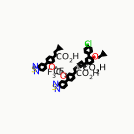 CC(C)CC(C(=O)O)c1ccc(-c2ccc3nsnc3c2)c(OCC(F)(F)F)c1.O=C(O)C(CC1CC1)c1ccc(-c2ccc3nsnc3c2)c(OCC(F)(F)F)c1.O=C(O)C1(c2ccc(OCC3CC3)c(-c3ccc(Cl)cc3)c2)CCC1